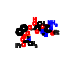 CCOc1nc(N)nc2c1ncn2C1O[C@H](COc2ccc3ccccc3c2O/[P+]([O-])=N/[C@@H](C)C(=O)OC(C)C)[C@@H](O)[C@@]1(C)O